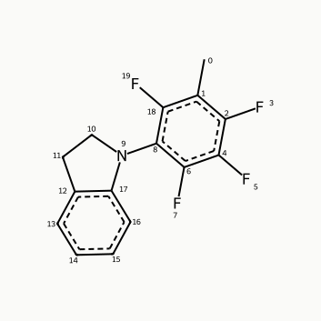 Cc1c(F)c(F)c(F)c(N2CCc3ccccc32)c1F